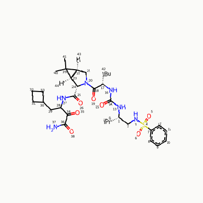 CC(C)[C@@H](CNS(=O)(=O)c1ccccc1)NC(=O)N[C@H](C(=O)N1C[C@H]2[C@@H]([C@H]1C(=O)NC(CC1CCC1)C(=O)C(N)=O)C2(C)C)C(C)(C)C